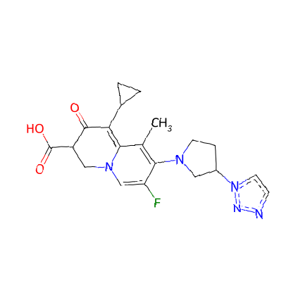 CC1=C(N2CCC(n3ccnn3)C2)C(F)=CN2CC(C(=O)O)C(=O)C(C3CC3)=C12